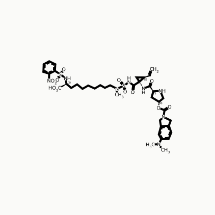 C=C[C@@H]1C[C@]1(NC(=O)[C@@H]1C[C@@H](OC(=O)N2Cc3ccc(N(C)C)cc3C2)CN1)C(=O)NS(=O)(=O)N(C)CCCCCCCC[C@H](NS(=O)(=O)c1ccccc1[N+](=O)[O-])C(=O)O